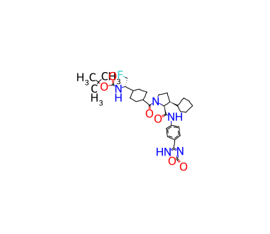 CC(C)(C)OC(=O)N[C@H](CF)C1CCC(C(=O)N2CC[C@@H](C3CCCCC3)[C@H]2C(=O)Nc2ccc(-c3nc(=O)o[nH]3)cc2)CC1